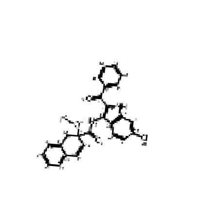 CCOC1(C(=O)Nc2c(C(=O)c3ccccc3)[nH]c3cc(Cl)ccc23)C=Cc2ccccc2C1